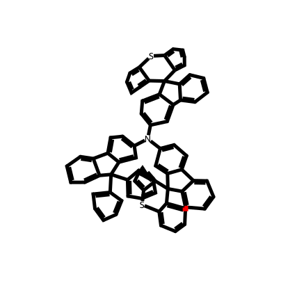 c1ccc(C2(c3ccccc3)c3ccccc3-c3ccc(N(c4ccc5c(c4)-c4ccccc4C54c5ccccc5Sc5ccccc54)c4ccc5c(c4)C4(c6ccccc6Sc6ccccc64)c4ccccc4-5)cc32)cc1